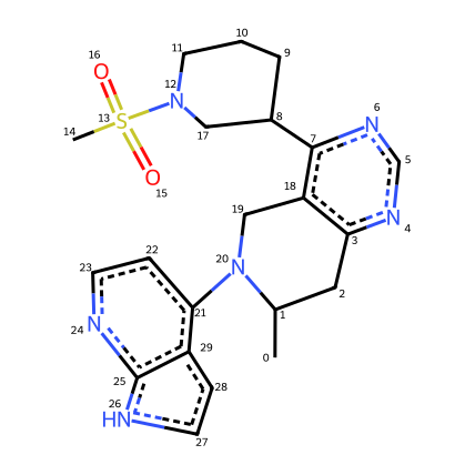 CC1Cc2ncnc(C3CCCN(S(C)(=O)=O)C3)c2CN1c1ccnc2[nH]ccc12